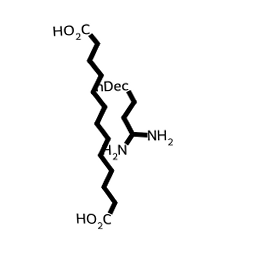 CCCCCCCCCCCCC(N)N.O=C(O)CCCCCCCCCCCC(=O)O